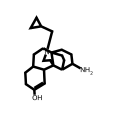 NC1CCC23CCC1C21CCN(CC2CC2)C3CC2CCC(O)=CC21